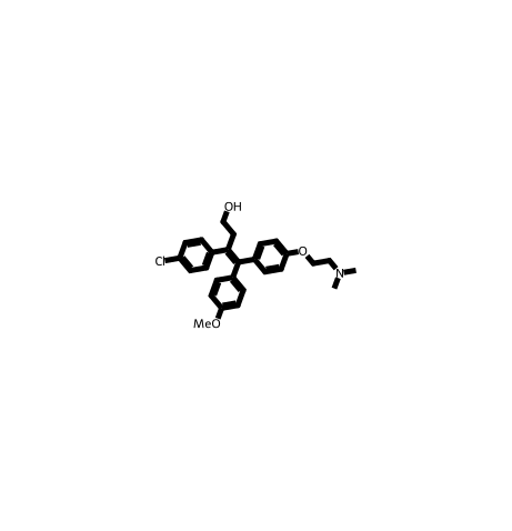 COc1ccc(/C(=C(/CCO)c2ccc(Cl)cc2)c2ccc(OCCN(C)C)cc2)cc1